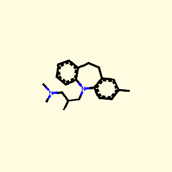 Cc1ccc2c(c1)CCc1ccccc1N2CC(C)CN(C)C